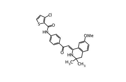 COc1ccc2c(c1)C(=CC(=O)c1ccc(NC(=O)c3sccc3Cl)cc1)NC(C)(C)C2